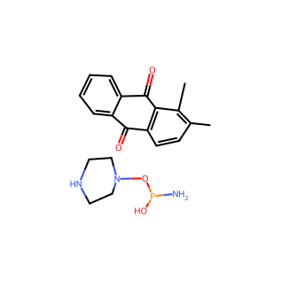 Cc1ccc2c(c1C)C(=O)c1ccccc1C2=O.NP(O)ON1CCNCC1